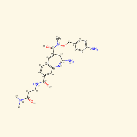 CCCN(OCc1ccc(N)cc1)C(=O)C1=Cc2ccc(C(=O)NCCC(=O)N(C)C)cc2N=C(N)C1